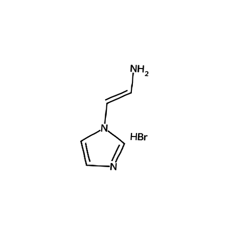 Br.NC=Cn1ccnc1